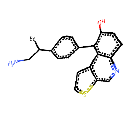 CCC(CN)c1ccc(-c2c(O)ccc3ncc4sccc4c23)cc1